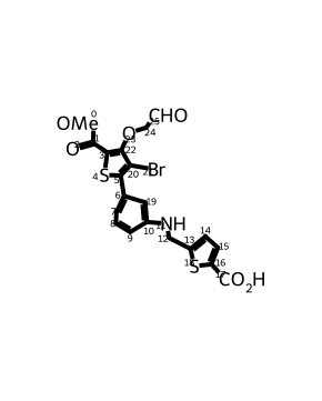 COC(=O)c1sc(-c2cccc(NCc3ccc(C(=O)O)s3)c2)c(Br)c1OCC=O